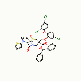 CC(=O)N(c1cccs1)C1C(=O)N2CC(COc3cc(Cl)ccc3Oc3ccc(Cl)cc3Cl)(C(=O)OC(c3ccccc3)c3ccccc3)C[S+]([O-])[C@H]12